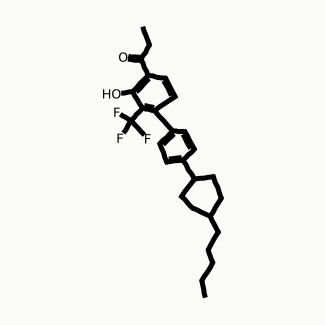 CCCCCC1CCC(c2ccc(-c3ccc(C(=O)CC)c(O)c3C(F)(F)F)cc2)CC1